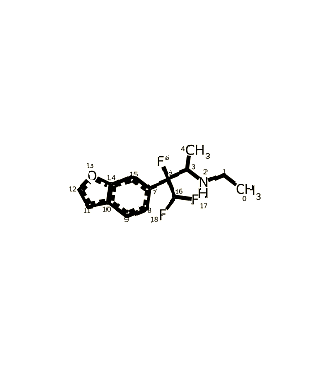 CCNC(C)C(F)(c1ccc2ccoc2c1)C(F)F